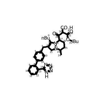 CCCCC1=C(Cc2ccc(-c3ccccc3-c3nnn[nH]3)cc2)CN2C(C)CCC(C(=O)C(C(=O)O)C(=O)OC(C)CC)N12